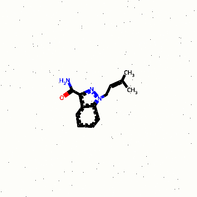 CC(C)=CCn1nc(C(N)=O)c2ccccc21